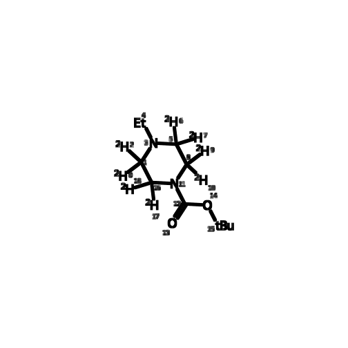 [2H]C1([2H])N(CC)C([2H])([2H])C([2H])([2H])N(C(=O)OC(C)(C)C)C1([2H])[2H]